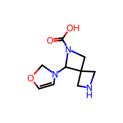 O=C(O)N1CC2(CNC2)C1N1C=COC1